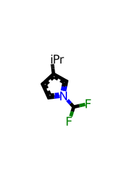 CC(C)c1ccn(C(F)F)c1